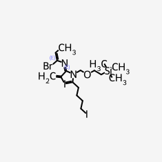 C=C1I=C(CCCCI)N(COCC[Si](C)(C)C)/C1=N/C(Br)=C\C